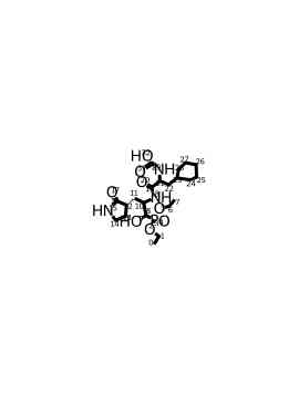 CCOP(=O)(OCC)C(O)C(C[C@@H]1CCNC1=O)NC(=O)C(CC1CCCCC1)NC(=O)O